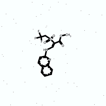 COC(=O)C(=CNc1ccc2ccccc2n1)S(=O)(=O)CC(F)(F)F